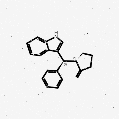 C=C1CCC[C@H]1[C@@H](c1ccccc1)c1c[nH]c2ccccc12